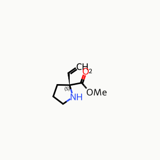 C=C[C@]1(C(=O)OC)CCCN1